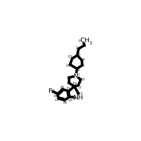 CCCC1CCC(N2CCC3(CC2)CNc2ccc(F)cc23)CC1